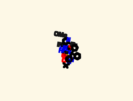 COc1cc(C(C)C)c(NC(=O)N(C(c2ccccc2)(c2ccccc2)c2ccccc2)S(=N)(=O)c2cnn3c2OCC(C)(C)C3)c(C(C)C)n1